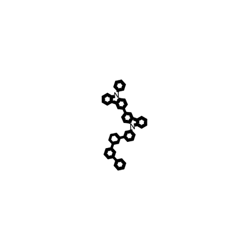 C1=C(c2cccc(-n3c4ccccc4c4cc(-c5ccc6c(c5)c5ccccc5n6-c5ccccc5)ccc43)c2)C=C(c2cccc(-c3ccccc3)c2)CC1